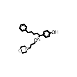 Oc1ccc(C(CCCCc2ccccc2)=NOCCCN2CCOCC2)cc1